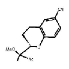 CO[C@](C)(C(C)=O)[C@H]1CCc2cc(C#N)ccc2O1